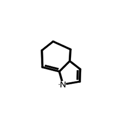 C1=CC2CCCC=C2[N]1